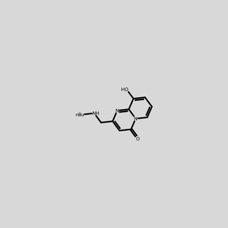 CCCCNCc1cc(=O)n2cccc(O)c2n1